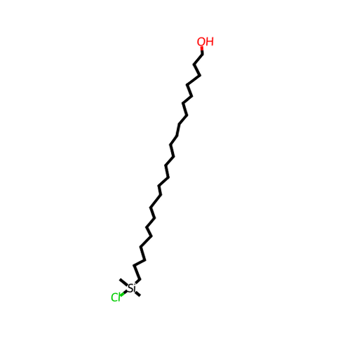 C[Si](C)(Cl)CCCCCCCCCCCCCCCCCCCCCCCO